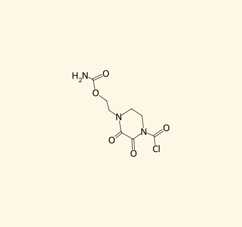 NC(=O)OCCN1CCN(C(=O)Cl)C(=O)C1=O